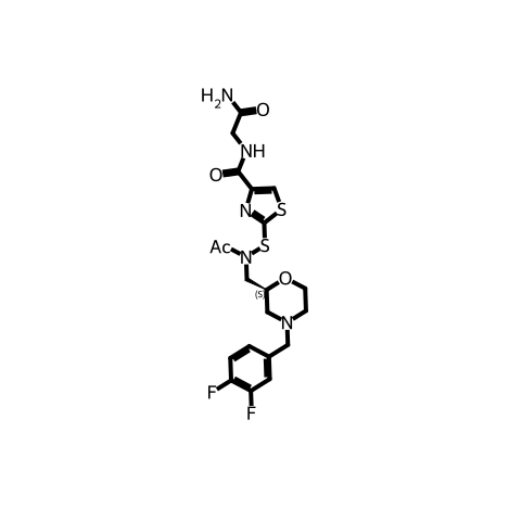 CC(=O)N(C[C@@H]1CN(Cc2ccc(F)c(F)c2)CCO1)Sc1nc(C(=O)NCC(N)=O)cs1